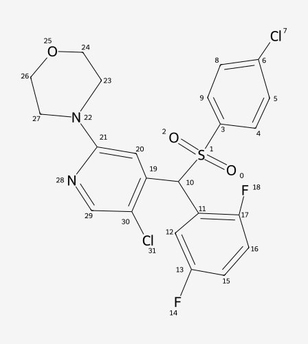 O=S(=O)(c1ccc(Cl)cc1)C(c1cc(F)ccc1F)c1cc(N2CCOCC2)ncc1Cl